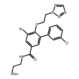 CCCCCCCCCCCCNC(=O)c1cc(Br)c(OCCn2ncnn2)c(-c2cccc(Cl)c2)c1